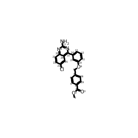 COC(=O)c1ccc(COc2cccc(-c3nc(N)nc4ccc(Cl)cc34)c2)cc1